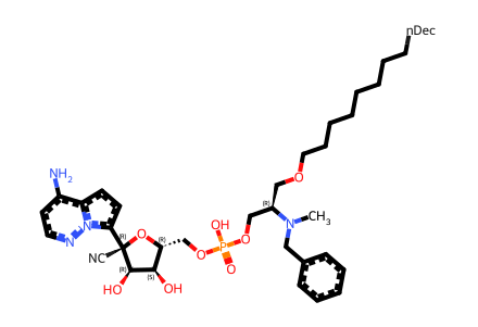 CCCCCCCCCCCCCCCCCCOC[C@H](COP(=O)(O)OC[C@H]1O[C@@](C#N)(c2ccc3c(N)ccnn23)[C@H](O)[C@@H]1O)N(C)Cc1ccccc1